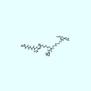 CCCCCCCCC(CCCCCCCC)OC(=O)CCCCCCCN(CCO)CCCCCC(=O)OC(C)CCCCCCCCOC(C)=O